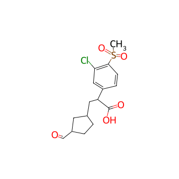 CS(=O)(=O)c1ccc(C(CC2CCC(C=O)C2)C(=O)O)cc1Cl